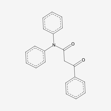 O=C(CC(=O)N(c1ccccc1)c1ccccc1)c1ccccc1